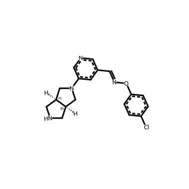 Clc1ccc(ON=Cc2cncc(N3C[C@H]4CNC[C@H]4C3)c2)cc1